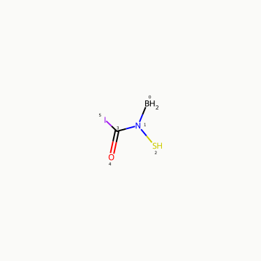 BN(S)C(=O)I